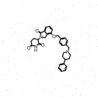 O=C1CCC(N2Cc3c(OCc4ccc(CN5CCC(c6ccccc6)CC5)cc4)cccc3C2=O)C(=O)N1